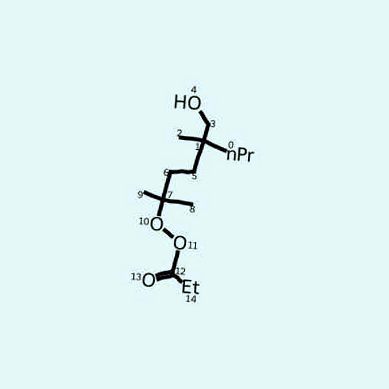 CCCC(C)(CO)CCC(C)(C)OOC(=O)CC